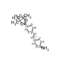 CC1(C)OB(c2ccc(/C=C/c3ccc(N)cc3)cc2)OC1(C)C